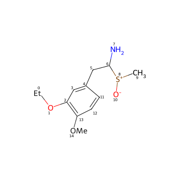 CCOc1cc(CC(N)[S+](C)[O-])ccc1OC